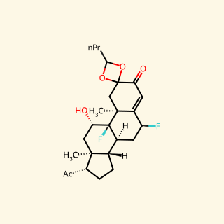 [CH2]C(=O)[C@H]1CC[C@H]2[C@@H]3C[C@H](F)C4=CC(=O)C5(C[C@]4(C)[C@@]3(F)[C@@H](O)C[C@]12C)OC(CCC)O5